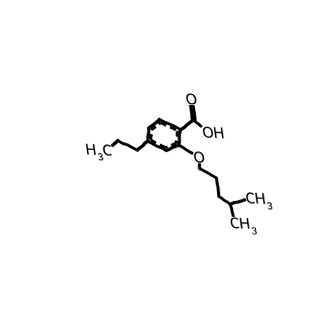 CCCc1ccc(C(=O)O)c(OCCCC(C)C)c1